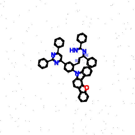 N=C(/N=C(\C=C\c1cc(-c2cc(-c3ccccc3)nc(-c3ccccc3)n2)ccc1-n1c2ccccc2c2c3oc4ccccc4c3ccc21)c1ccccc1)c1ccccc1